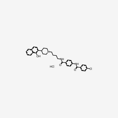 Cl.O=C(NCCCCN1CCC(c2ccc3ccccc3c2O)CC1)c1ccc(NC(=O)c2ccc(Cl)cc2)cc1